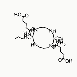 CCCNC[C@]1(NC(=O)CCCC(=O)O)CNCCCNC[C@@](CN)(NC(=O)CCCC(=O)O)CNCCCNC1